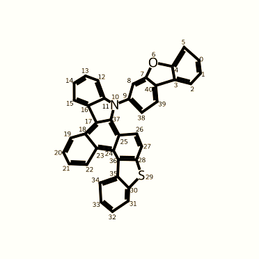 c1ccc2c(c1)oc1cc(-n3c4ccccc4c4c5ccccc5c5c(ccc6sc7ccccc7c65)c43)ccc12